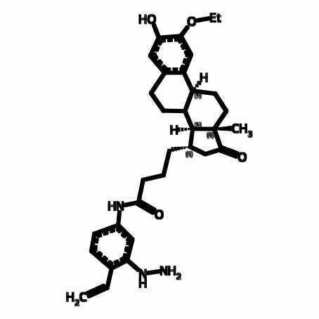 C=Cc1ccc(NC(=O)CCC[C@H]2CC(=O)[C@@]3(C)CC[C@@H]4c5cc(OCC)c(O)cc5CCC4[C@H]23)cc1NN